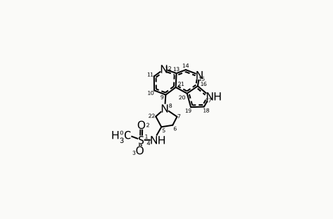 CS(=O)(=O)NC1CCN(c2ccnc3cnc4[nH]ccc4c23)C1